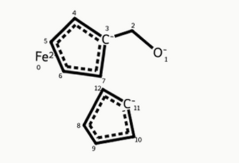 [Fe+2].[O-]C[c-]1cccc1.c1cc[cH-]c1